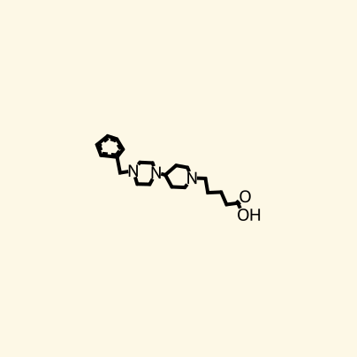 O=C(O)CCCCN1CCC(N2CCN(Cc3ccccc3)CC2)CC1